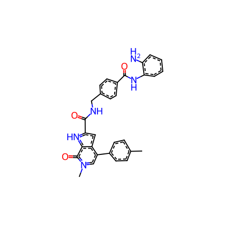 Cc1ccc(-c2cn(C)c(=O)c3[nH]c(C(=O)NCc4ccc(C(=O)Nc5ccccc5N)cc4)cc23)cc1